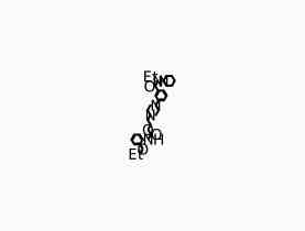 CCOc1ccccc1NC(=O)OCCN1CCN(c2cccc(C(=O)N(CC)N3CCCCC3)c2)CC1